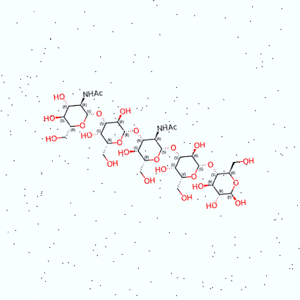 CC(=O)N[C@H]1[C@H](O[C@H]2[C@@H](O)[C@@H](CO)O[C@@H](O[C@H]3[C@H](O)[C@@H](CO)O[C@@H](O[C@H]4[C@@H](O)[C@@H](CO)O[C@@H](O[C@H]5[C@H](O)[C@@H](O)[C@H](O)O[C@@H]5CO)[C@@H]4O)[C@@H]3NC(C)=O)[C@@H]2O)O[C@H](CO)[C@@H](O)[C@@H]1O